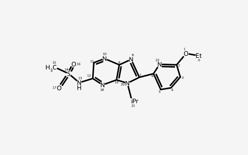 CCOc1cccc(-c2nc3ncc(NS(C)(=O)=O)nc3n2C(C)C)n1